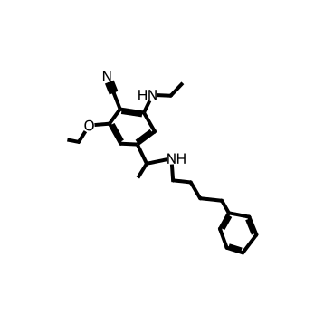 CCNc1cc(C(C)NCCCCc2ccccc2)cc(OCC)c1C#N